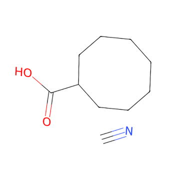 C#N.O=C(O)C1CCCCCCC1